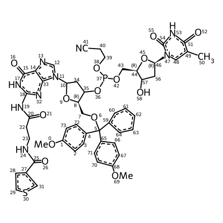 COc1ccc(C(OC[C@H]2OC(n3cnc4c(=O)[nH]c(NC(=O)CCNC(=O)c5ccsc5)nc43)CC2OP(OCCC#N)OC[C@H]2O[C@@H](n3cc(C)c(=O)[nH]c3=O)CC2O)(c2ccccc2)c2ccc(OC)cc2)cc1